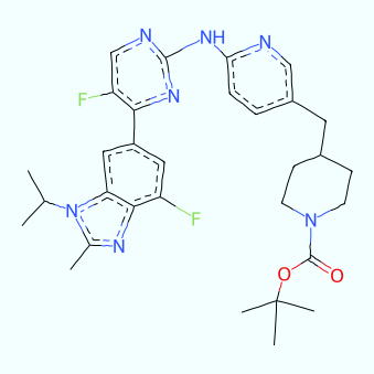 Cc1nc2c(F)cc(-c3nc(Nc4ccc(CC5CCN(C(=O)OC(C)(C)C)CC5)cn4)ncc3F)cc2n1C(C)C